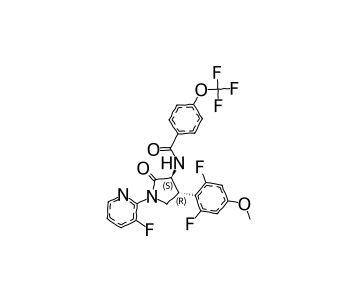 COc1cc(F)c([C@@H]2CN(c3ncccc3F)C(=O)[C@H]2NC(=O)c2ccc(OC(F)(F)F)cc2)c(F)c1